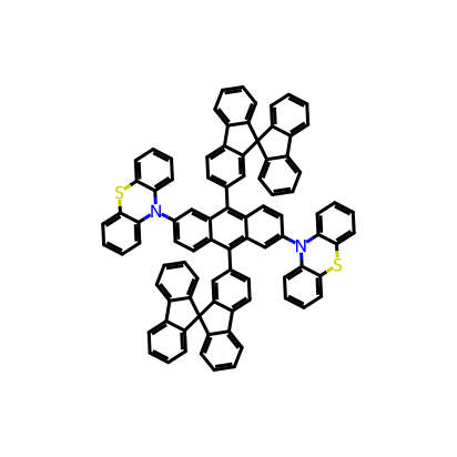 c1ccc2c(c1)Sc1ccccc1N2c1ccc2c(-c3ccc4c(c3)C3(c5ccccc5-c5ccccc53)c3ccccc3-4)c3cc(N4c5ccccc5Sc5ccccc54)ccc3c(-c3ccc4c(c3)C3(c5ccccc5-c5ccccc53)c3ccccc3-4)c2c1